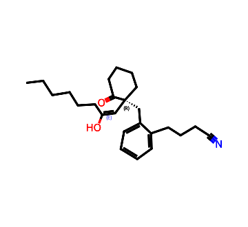 CCCCCC/C(O)=C\[C@]1(Cc2ccccc2CCCC#N)CCCCC1=O